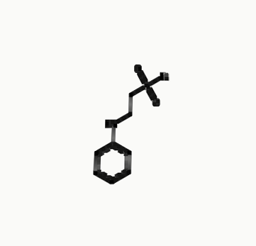 CCS(=O)(=O)CCNc1ccccc1